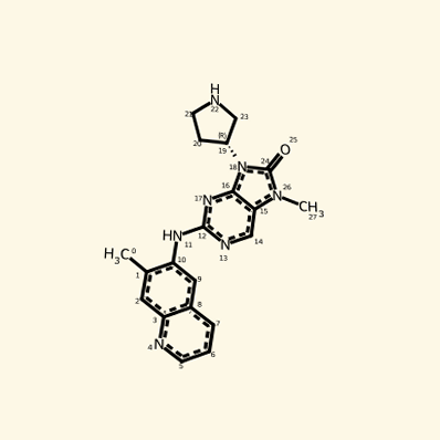 Cc1cc2ncccc2cc1Nc1ncc2c(n1)n([C@@H]1CCNC1)c(=O)n2C